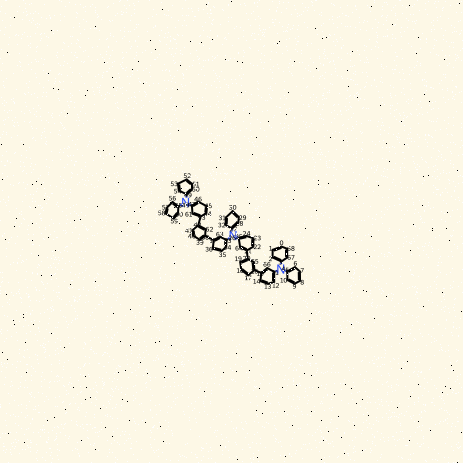 c1ccc(N(c2ccccc2)c2cccc(-c3cccc(-c4cccc(N(c5ccccc5)c5cccc(-c6cccc(-c7cccc(N(c8ccccc8)c8ccccc8)c7)c6)c5)c4)c3)c2)cc1